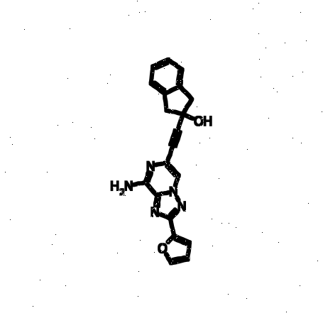 Nc1nc(C#CC2(O)Cc3ccccc3C2)cn2nc(-c3ccco3)nc12